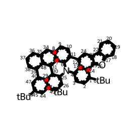 CC(C)(C)c1ccc(N(c2ccccc2-c2ccc3oc4ccccc4c3c2)c2ccccc2-c2cccc3cccc(-c4cc(C(C)(C)C)cc(C(C)(C)C)c4)c23)cc1